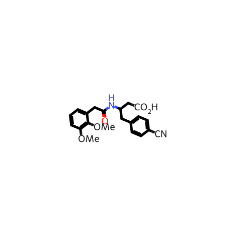 COc1cccc(CC(=O)NC(CC(=O)O)Cc2ccc(C#N)cc2)c1OC